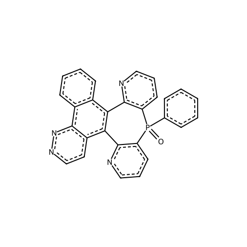 O=P1(c2ccccc2)c2cccnc2-c2c(c3ccnnc3c3ccccc23)-c2ncccc21